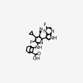 N#Cc1c(-c2c[nH]c3ncc(F)nc23)nc(NC2C3CCC(CC3)C2C(=O)O)c(F)c1C1CC1